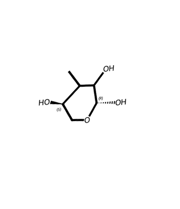 CC1C(O)[C@H](O)OC[C@H]1O